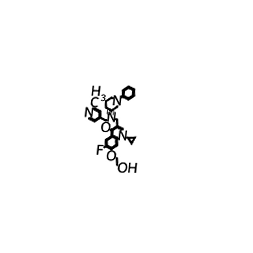 Cc1cc(CN(Cc2cn(C3CC3)c3cc(OCCO)c(F)cc3c2=O)[C@H]2CCCN(c3ccccc3)C2)ccn1